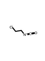 O=C=[N+]CCCl